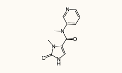 CN(C(=O)c1c[nH]c(=O)n1C)c1cccnc1